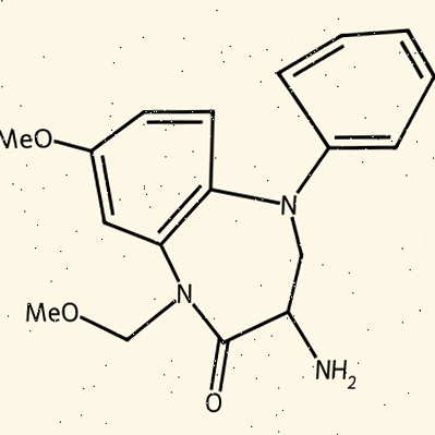 COCN1C(=O)C(N)CN(c2ccccc2)c2ccc(OC)cc21